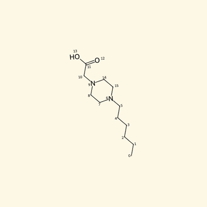 CCCCCCN1CCN(CC(=O)O)CC1